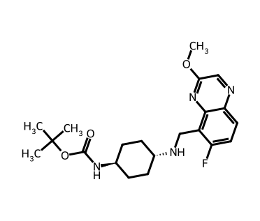 COc1cnc2ccc(F)c(CN[C@H]3CC[C@H](NC(=O)OC(C)(C)C)CC3)c2n1